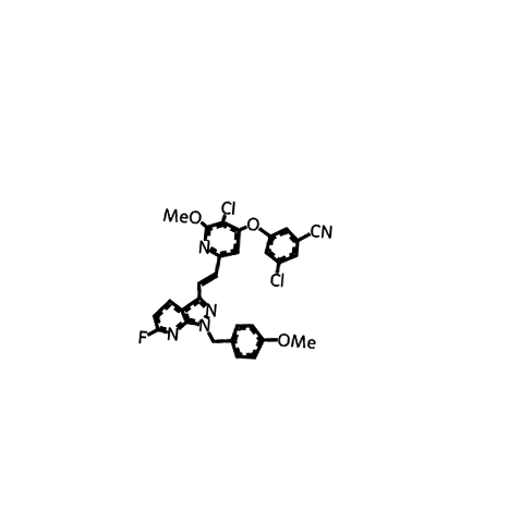 COc1ccc(Cn2nc(C=Cc3cc(Oc4cc(Cl)cc(C#N)c4)c(Cl)c(OC)n3)c3ccc(F)nc32)cc1